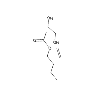 C=C.CCCCOC(C)=O.OCCO